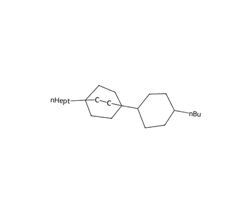 CCCCCCCC12CCC(C3CCC(CCCC)CC3)(CC1)CC2